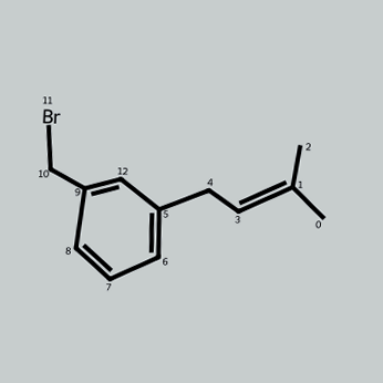 CC(C)=CCc1cccc(CBr)c1